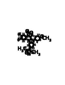 CO[C@H]1CC[C@H](n2c(C3COC(=O)N3c3ccc(F)c(F)c3)nc3cc(-c4c(C)noc4C)ccc32)CC1